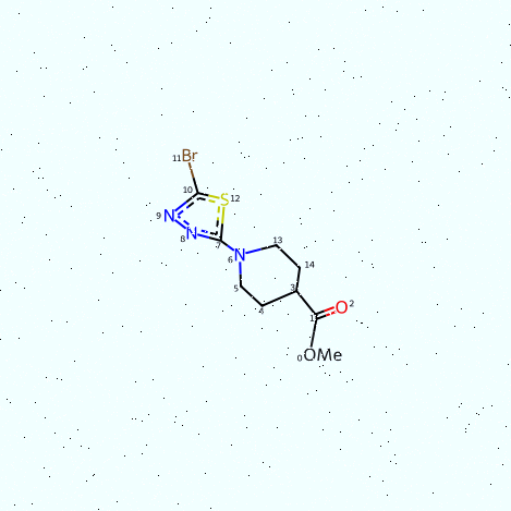 COC(=O)C1CCN(c2nnc(Br)s2)CC1